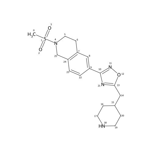 CS(=O)(=O)N1CCc2cc(-c3noc(CC4CCNCC4)n3)ccc2C1